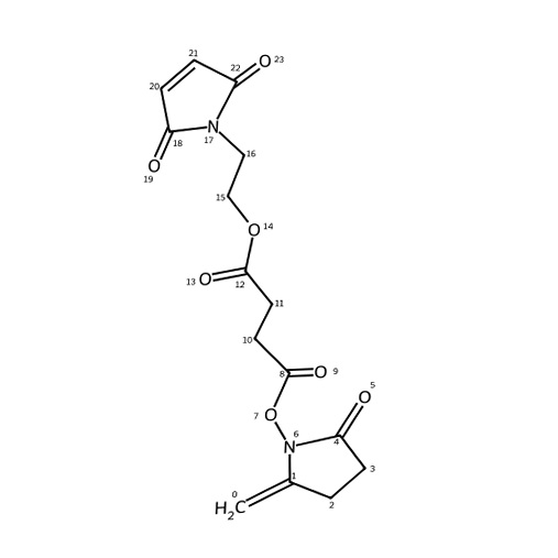 C=C1CCC(=O)N1OC(=O)CCC(=O)OCCN1C(=O)C=CC1=O